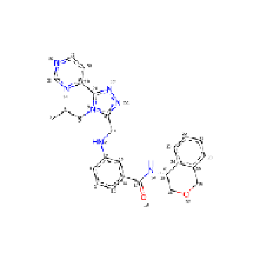 CCCn1c(CNc2cccc(C(=O)N[C@H]3COCc4ccccc43)c2)nnc1-c1ccncn1